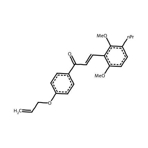 C=CCOc1ccc(C(=O)C=Cc2c(OC)ccc(CCC)c2OC)cc1